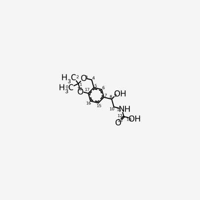 CC1(C)OCc2cc(C(O)CNC(=O)O)ccc2O1